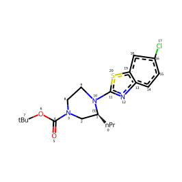 CCC[C@H]1CN(C(=O)OC(C)(C)C)CCN1c1nc2ccc(Cl)cc2s1